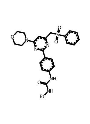 CCNC(=O)Nc1ccc(-c2nc(CS(=O)(=O)c3ccccc3)cc(N3CCOCC3)n2)cc1